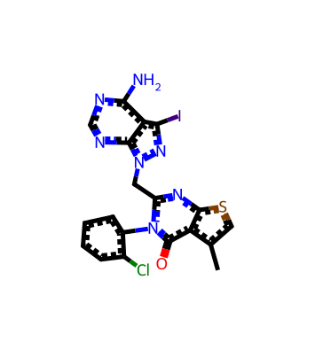 Cc1csc2nc(Cn3nc(I)c4c(N)ncnc43)n(-c3ccccc3Cl)c(=O)c12